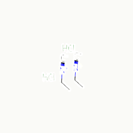 Cl.Cl.[C-]#[N+]CC.[C-]#[N+]CC